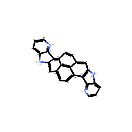 c1cnc2c(c1)[nH]c1cc3ccc4c5c(cc6ccc(c12)c3c64)[nH]c1cccnc15